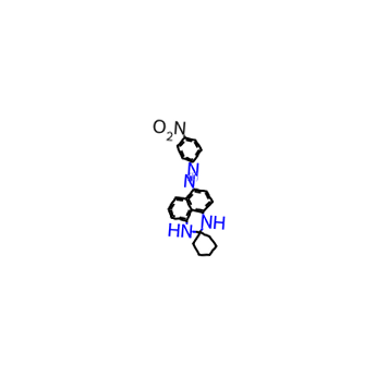 O=[N+]([O-])c1ccc(/N=N/c2ccc3c4c(cccc24)NC2(CCCCC2)N3)cc1